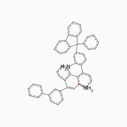 NC/C=C(/c1cccc(-c2ccccc2)c1)c1ccccc1-c1ccccc1-c1ccc(C2(c3ccccc3)c3ccccc3-c3ccccc32)cc1N